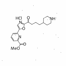 COC(=O)c1cccc(-c2cnc(C(=O)CCCC3CCNCC3)o2)n1.Cl